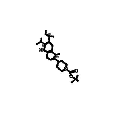 CC[C@@H](C)C1CC2=C(CCN(C3CCN(C(=O)OC(C)(C)C)CC3)[C@@H]2C)N[C@H]1C(C)C